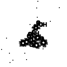 O=C(O)c1ccc(CNC(=O)C(c2ccc(Oc3ccccc3)cc2)N2C(=O)C3Cc4ccccc4CN3C(=O)C2CC2CCCCC2)cc1